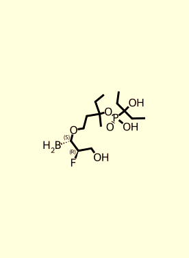 B[C@H](OCCC(C)(CC)OP(=O)(O)C(O)(CC)CC)[C@H](F)CO